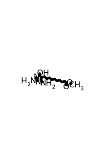 COC(=O)CCCCCCCCCc1c(N)nc(N)nc1O